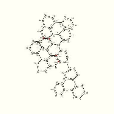 c1ccc(-c2ccc(-c3ccc(N(c4ccccc4-c4cccc5cccc(-c6ccccc6)c45)c4ccccc4-c4cccc5cccc(-c6ccccc6)c45)cc3)cc2-c2ccccc2)cc1